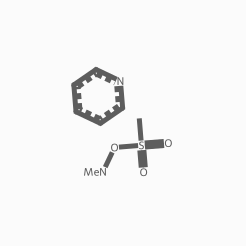 CNOS(C)(=O)=O.c1ccncc1